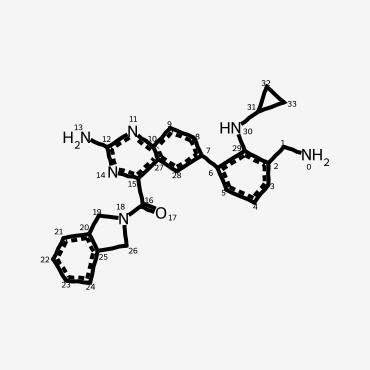 NCc1cccc(-c2ccc3nc(N)nc(C(=O)N4Cc5ccccc5C4)c3c2)c1NC1CC1